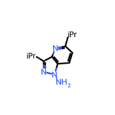 CC(C)c1ccc2c(n1)c(C(C)C)nn2N